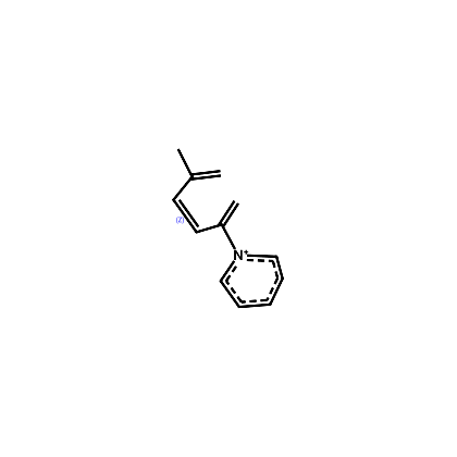 C=C(C)/C=C\C(=C)[n+]1ccccc1